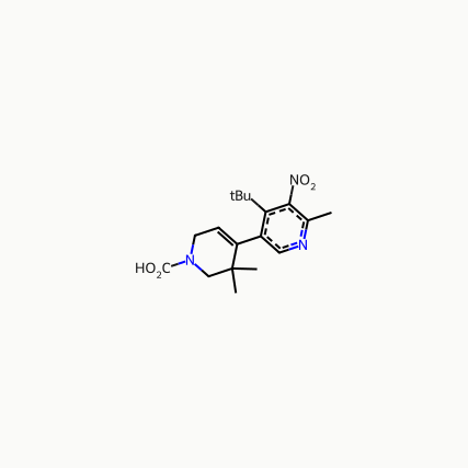 Cc1ncc(C2=CCN(C(=O)O)CC2(C)C)c(C(C)(C)C)c1[N+](=O)[O-]